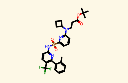 Cc1ccccc1-c1nc(NS(=O)(=O)c2cccc(N(CCC(=O)OC(C)(C)C)C3CCC3)n2)ccc1C(F)(F)F